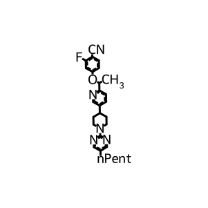 CCCCCc1cnc(N2CCC(c3ccc(C(C)Oc4ccc(C#N)c(F)c4)nc3)CC2)nc1